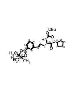 CC(C)(C)OC(=O)N[C@@H](C/C=C/c1cccc(B2OC(C)(C)C(C)(C)O2)c1)C(=O)OC1CCCC1